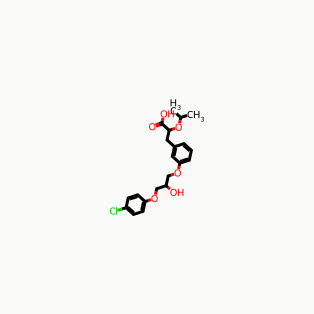 CC(C)OC(Cc1cccc(OCC(O)COc2ccc(Cl)cc2)c1)C(=O)O